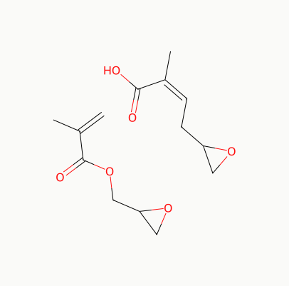 C=C(C)C(=O)OCC1CO1.CC(=CCC1CO1)C(=O)O